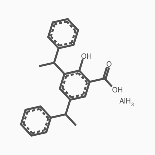 CC(c1ccccc1)c1cc(C(=O)O)c(O)c(C(C)c2ccccc2)c1.[AlH3]